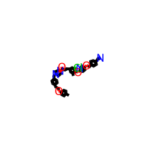 Cc1ccc(OCCc2ccc(CN3CCN(C(=O)C=Cc4cc(C)c(Oc5ccc(OCc6ccc(C#N)cc6)cn5)c(Cl)c4)CC3)cc2)cc1